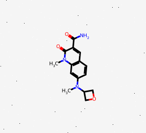 CN(c1ccc2cc(C(N)=O)c(=O)n(C)c2c1)C1COC1